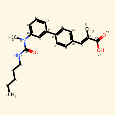 CCCCCNC(=O)N(C)c1cccc(-c2ccc(/C=C(\C)C(=O)O)cc2)c1